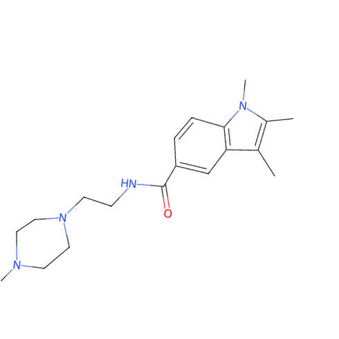 Cc1c(C)n(C)c2ccc(C(=O)NCCN3CCN(C)CC3)cc12